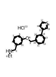 CCNCc1cccc(OCc2cccc(-c3ccsc3)c2)c1.Cl